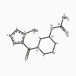 CC(C)(C)n1cncc1C(=O)N1CCCC(OC(N)=O)C1